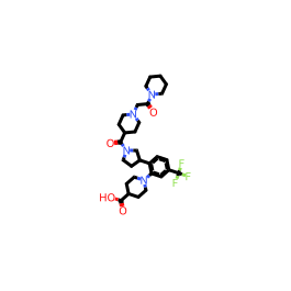 O=C(O)C1CCN(c2cc(C(F)(F)F)ccc2C2CCN(C(=O)C3CCN(CC(=O)N4CCCCC4)CC3)C2)CC1